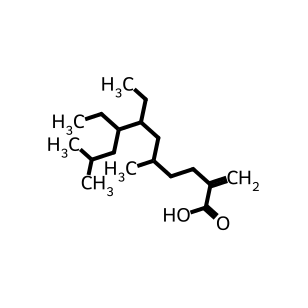 C=C(CCC(C)CC(CC)C(CC)CC(C)C)C(=O)O